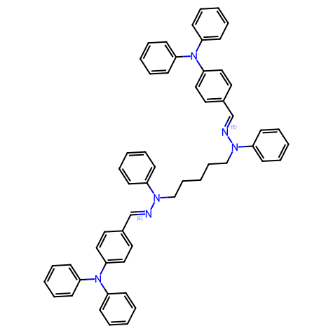 C(=N\N(CCCCCN(/N=C/c1ccc(N(c2ccccc2)c2ccccc2)cc1)c1ccccc1)c1ccccc1)/c1ccc(N(c2ccccc2)c2ccccc2)cc1